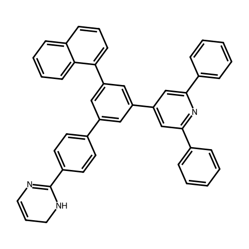 C1=CN=C(c2ccc(-c3cc(-c4cc(-c5ccccc5)nc(-c5ccccc5)c4)cc(-c4cccc5ccccc45)c3)cc2)NC1